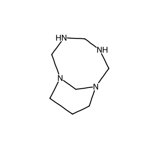 C1CN2CNCNCN(C1)C2